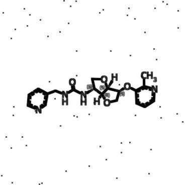 Cc1ncccc1O[C@H]1CO[C@H]2[C@@H]1OC[C@@H]2NC(=O)NCc1cccnc1